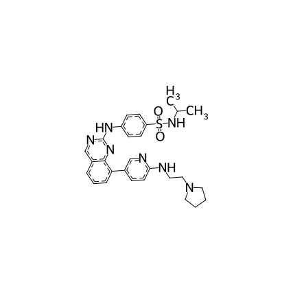 CC(C)NS(=O)(=O)c1ccc(Nc2ncc3cccc(-c4ccc(NCCN5CCCC5)nc4)c3n2)cc1